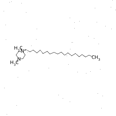 CCCCCCCCCCCCCCCCCCCC[N+]1(C)CCN(C)CC1